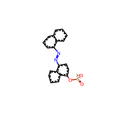 O=[SH](=O)Oc1ccc(N=Nc2cccc3ccccc23)c2ccccc12